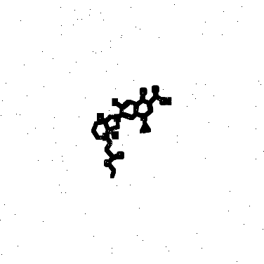 CCOC(=O)CCN1CCC[C@H]2CN(c3cc4c(cc3F)c(=O)c(C(=O)O)cn4C3CC3)C[C@H]21